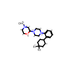 CCC1(CC)CCC(c2ccccc2N2CCN(C3CN(C=O)CCO3)CC2)CC1